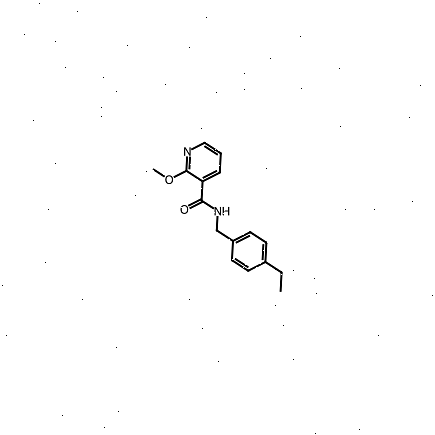 CCc1ccc(CNC(=O)c2cccnc2OC)cc1